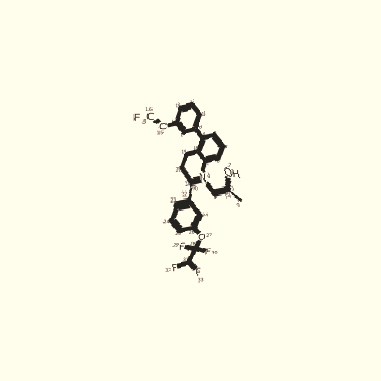 C[C@H](O)CN1c2cccc(-c3cccc(OC(F)(F)F)c3)c2CC[C@@H]1c1cccc(OC(F)(F)C(F)F)c1